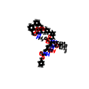 COC(=O)[C@H](Cc1cccc(-c2ccc(OCc3ccccc3)c(C[C@H](NC(=O)OCc3ccccc3)C(=O)O)c2)c1)NC(=O)[C@H](C[C@@H](O)CNC(=O)OCc1ccccc1)NC(=O)OC(C)(C)C